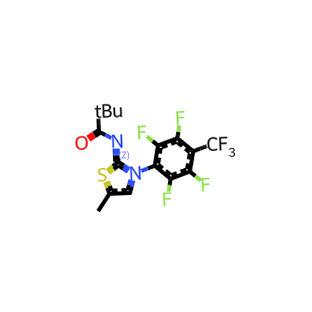 Cc1cn(-c2c(F)c(F)c(C(F)(F)F)c(F)c2F)/c(=N/C(=O)C(C)(C)C)s1